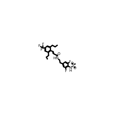 CCCc1cc(C(F)(F)F)cc(CCC)c1C=CC(=O)NCCc1cc(F)c(NS(C)(=O)=O)c(F)c1